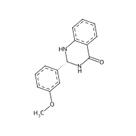 COc1cccc([C@H]2NC(=O)c3ccccc3N2)c1